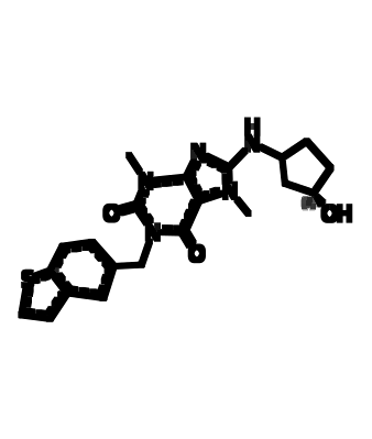 Cn1c(NC2CC[C@@H](O)C2)nc2c1c(=O)n(Cc1ccc3sccc3c1)c(=O)n2C